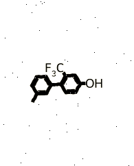 Cc1cccc(-c2ccc(O)cc2C(F)(F)F)c1